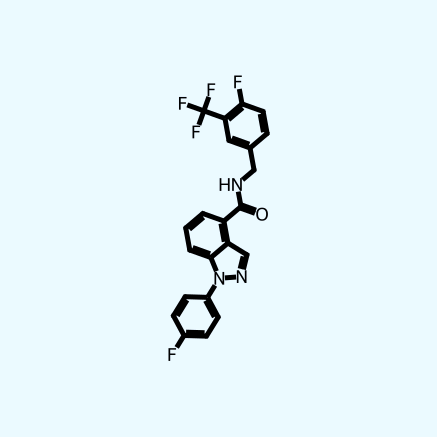 O=C(NCc1ccc(F)c(C(F)(F)F)c1)c1cccc2c1cnn2-c1ccc(F)cc1